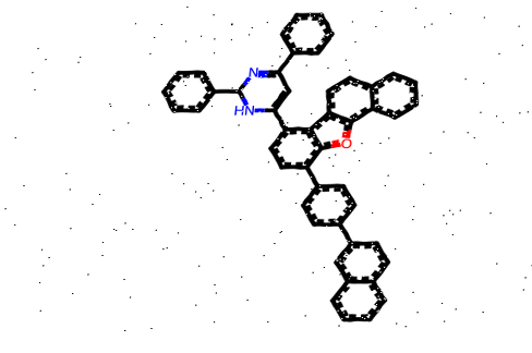 C1=C(c2ccc(-c3ccc(-c4ccc5ccccc5c4)cc3)c3oc4c5ccccc5ccc4c23)NC(c2ccccc2)N=C1c1ccccc1